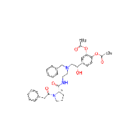 CC(C)(C)C(=O)Oc1ccc(C(O)CN(CCNC(=O)[C@@H]2CCCN2C(=O)Cc2ccccc2)Cc2ccccc2)cc1OC(=O)C(C)(C)C